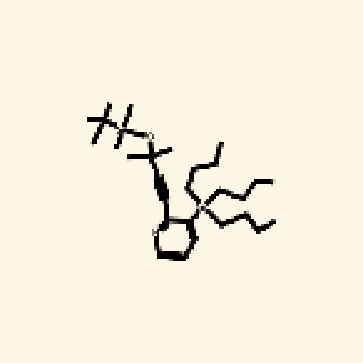 CCC[CH2][Sn]([CH2]CCC)([CH2]CCC)[c]1cccnc1C#CC(C)(C)O[Si](C)(C)C(C)(C)C